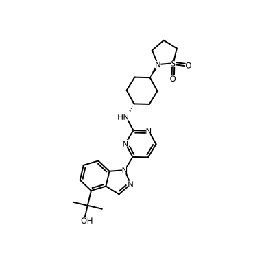 CC(C)(O)c1cccc2c1cnn2-c1ccnc(N[C@H]2CC[C@H](N3CCCS3(=O)=O)CC2)n1